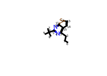 CCCc1nc(C(C)(C)C)nc2sccc12